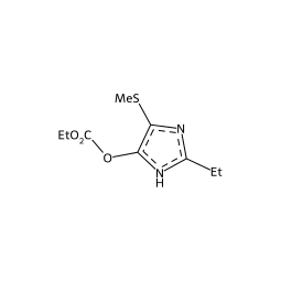 CCOC(=O)Oc1[nH]c(CC)nc1SC